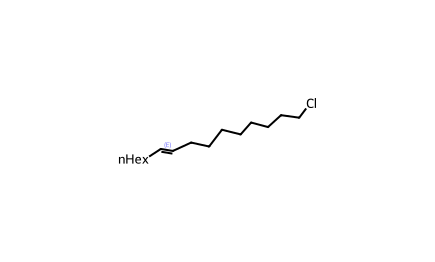 CCCCCC/C=C/CCCCCCCCCl